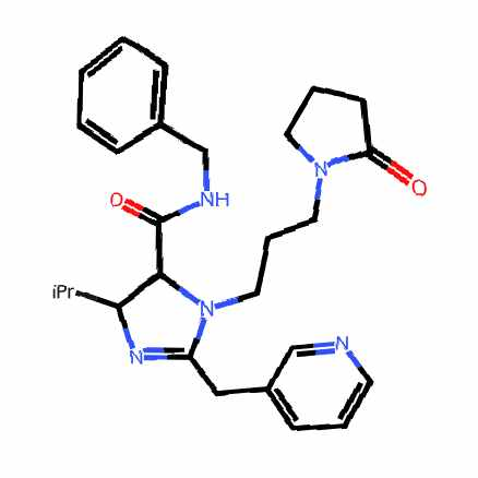 CC(C)C1N=C(Cc2cccnc2)N(CCCN2CCCC2=O)C1C(=O)NCc1ccccc1